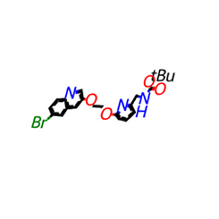 CC(C)(C)OC(=O)NCc1cccc(OCCOc2cnc3ccc(Br)cc3c2)n1